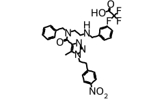 Cc1c(C(=O)N(CCNCc2ccccc2)Cc2ccccc2)nnn1CCc1ccc([N+](=O)[O-])cc1.O=C(O)C(F)(F)F